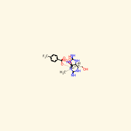 C[C@H]1[C@H](OC(=O)c2ccc(C(F)(F)F)cc2)C(O)(O)[C@]23NC(=N)N[C@H]2[C@H](CO)NC(=N)N13